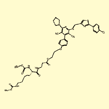 CC(C)(C)OC(=O)NCCCC[C@H](NC(=O)OC(C)(C)C)C(=O)NCCC(=O)OCCOc1ccc(-c2c(C#N)c(SCc3csc(-c4ccc(Cl)cc4)n3)nc(N3CCCC3)c2C#N)cc1